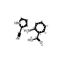 N#Cc1ccc[nH]1.Nc1ccccc1C(=O)O